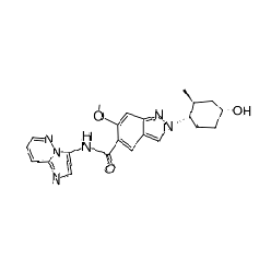 COc1cc2nn([C@H]3CC[C@@H](O)C[C@@H]3C)cc2cc1C(=O)Nc1cnc2cccnn12